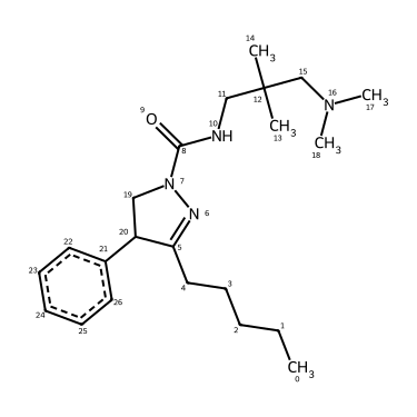 CCCCCC1=NN(C(=O)NCC(C)(C)CN(C)C)CC1c1ccccc1